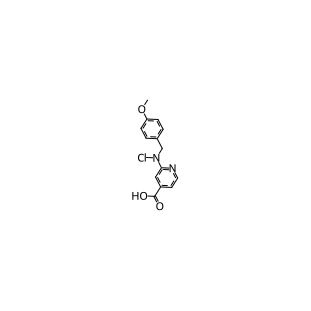 COc1ccc(CN(Cl)c2cc(C(=O)O)ccn2)cc1